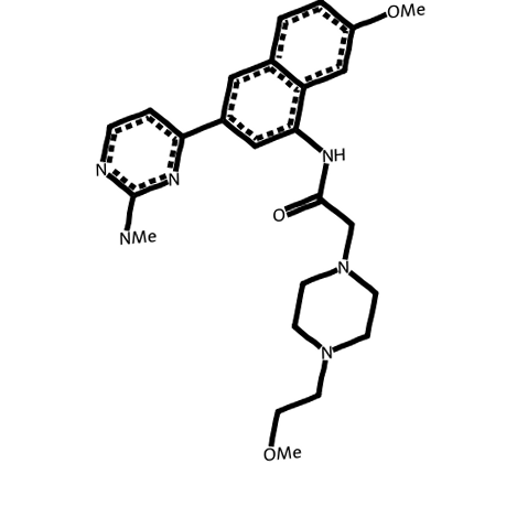 CNc1nccc(-c2cc(NC(=O)CN3CCN(CCOC)CC3)c3cc(OC)ccc3c2)n1